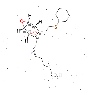 O=C(O)CCC/C=C\C[C@H]1[C@@H](CCSC2CCCCC2)[C@@H]2O[C@H]1[C@@H]1O[C@@H]12